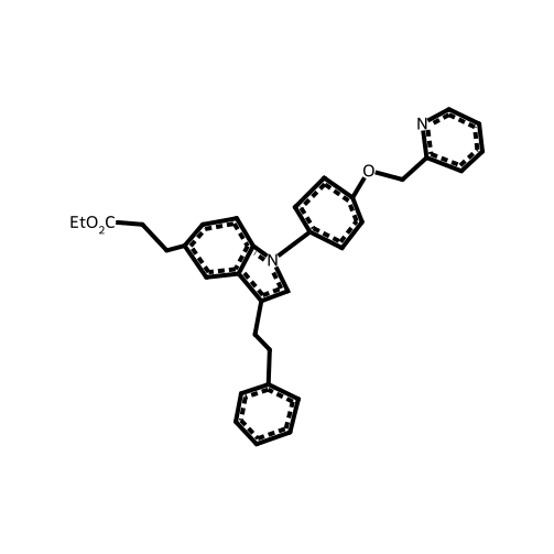 CCOC(=O)CCc1ccc2c(c1)c(CCc1ccccc1)cn2-c1ccc(OCc2ccccn2)cc1